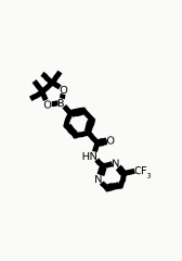 CC1(C)OB(c2ccc(C(=O)Nc3nccc(C(F)(F)F)n3)cc2)OC1(C)C